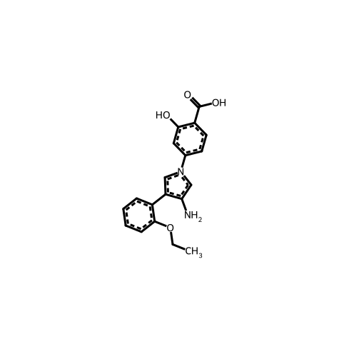 CCOc1ccccc1-c1cn(-c2ccc(C(=O)O)c(O)c2)cc1N